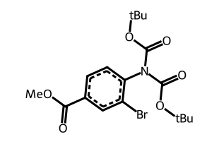 COC(=O)c1ccc(N(C(=O)OC(C)(C)C)C(=O)OC(C)(C)C)c(Br)c1